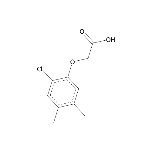 Cc1cc(Cl)c(OCC(=O)O)cc1C